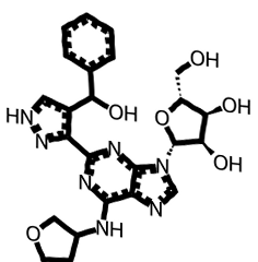 OC[C@H]1O[C@@H](n2cnc3c(NC4CCOC4)nc(-c4n[nH]cc4C(O)c4ccccc4)nc32)[C@H](O)[C@@H]1O